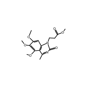 COC(=O)CCn1c(=O)nc(C)c2c(OC)c(OC)c(OC)cc21